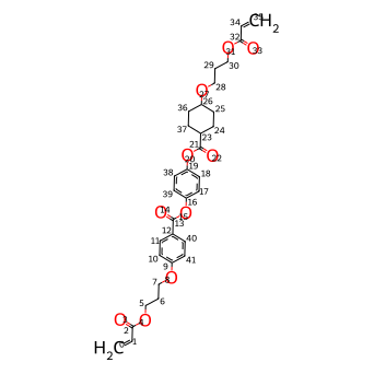 C=CC(=O)OCCCOc1ccc(C(=O)Oc2ccc(OC(=O)C3CCC(OCCCOC(=O)C=C)CC3)cc2)cc1